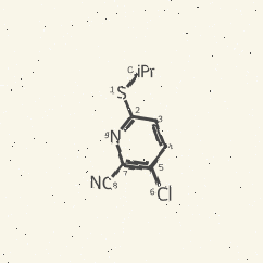 CC(C)Sc1ccc(Cl)c(C#N)n1